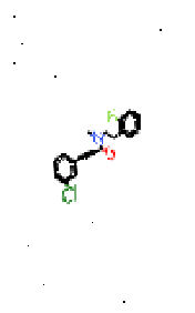 CN(CCc1ccccc1F)C(=O)C#Cc1cccc(Cl)c1